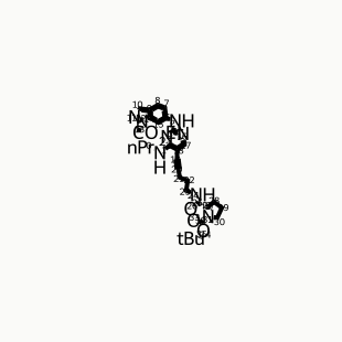 CCCNc1nc(Nc2ccc3cnn(C(=O)OCC)c3c2)ncc1C#CCCCNC(=O)[C@@H]1CCCN1C(=O)OC(C)(C)C